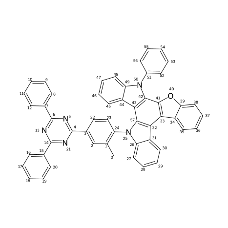 Cc1cc(-c2nc(-c3ccccc3)nc(-c3ccccc3)n2)ccc1-n1c2ccccc2c2c3c4ccccc4oc3c3c(c4ccccc4n3-c3ccccc3)c21